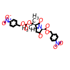 CC(C)(OC(=O)OCc1ccc([N+](=O)[O-])cc1)[C@H]1C(=O)N2[C@@H](C(=O)OCc3ccc([N+](=O)[O-])cc3)C(=O)C[C@H]12